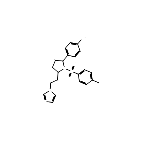 Cc1ccc(S(=O)(=O)N2C(CCn3ccnc3)CCC2c2ccc(F)cc2)cc1